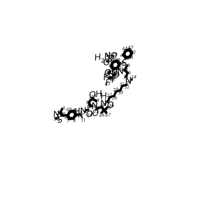 Cc1ncsc1-c1ccc([C@H](C)NC(=O)[C@@H]2C[C@@H](O)CN2C(=O)C(NC(=O)CCCCCCN(C)CCC(CSc2ccccc2)Nc2ccc(S(N)(=O)=O)cc2S(=O)(=O)C(F)(F)F)C(C)(C)C)cc1